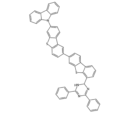 c1ccc(C2=NC(c3cccc4c3sc3cc(-c5ccc6sc7cc(-n8c9ccccc9c9ccccc98)ccc7c6c5)ccc34)NC(c3ccccc3)=N2)cc1